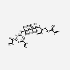 C=CC(=O)OCC(C=C)CC(F)(F)C(F)(F)C(F)(F)C(F)(F)CC(COC(=O)C=C)OC(=O)C=C